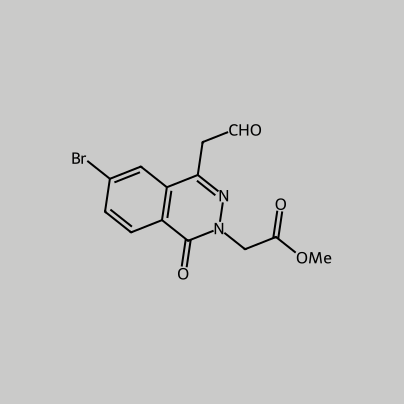 COC(=O)Cn1nc(CC=O)c2cc(Br)ccc2c1=O